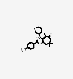 CC1=C(OC2CCCOC2)C(OC(=O)c2ccc(N)cc2)CC(C)(C)CC1=O